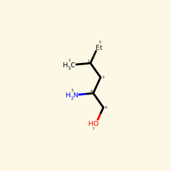 CCC(C)CC(N)CO